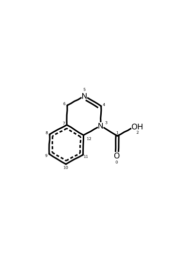 O=C(O)N1C=NCc2ccccc21